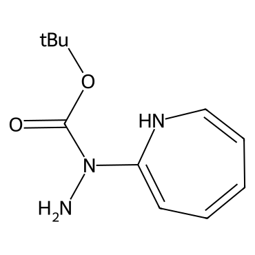 CC(C)(C)OC(=O)N(N)C1=CC=CC=CN1